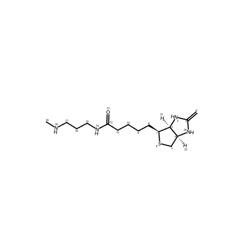 C=C1N[C@H]2[C@H](CS[C@H]2CCCCC(=O)NCCCNC)N1